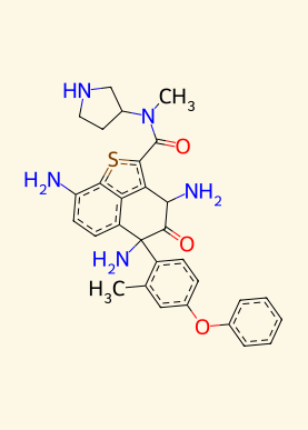 Cc1cc(Oc2ccccc2)ccc1C1(N)C(=O)C(N)c2c(C(=O)N(C)C3CCNC3)sc3c(N)ccc1c23